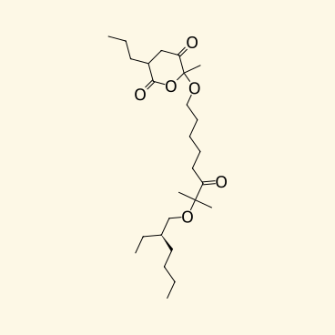 CCCC[C@@H](CC)COC(C)(C)C(=O)CCCCCOC1(C)OC(=O)C(CCC)CC1=O